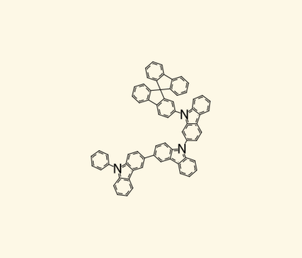 c1ccc(-n2c3ccccc3c3cc(-c4ccc5c(c4)c4ccccc4n5-c4ccc5c6ccccc6n(-c6ccc7c(c6)C6(c8ccccc8-c8ccccc86)c6ccccc6-7)c5c4)ccc32)cc1